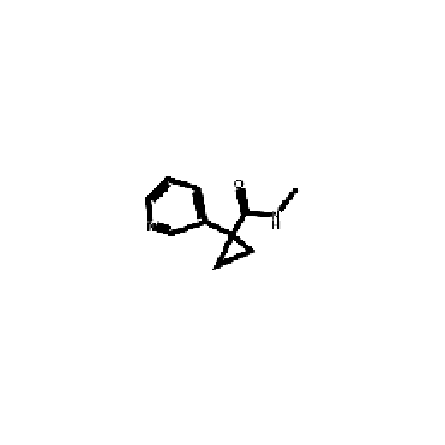 CNC(=O)C1(c2cccnc2)CC1